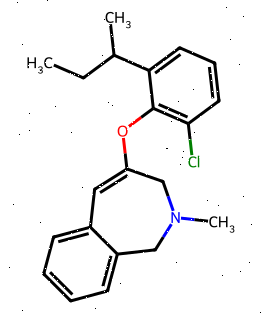 CCC(C)c1cccc(Cl)c1OC1=Cc2ccccc2CN(C)C1